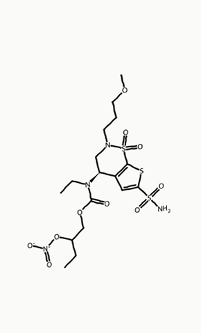 CCC(COC(=O)N(CC)[C@H]1CN(CCCOC)S(=O)(=O)c2sc(S(N)(=O)=O)cc21)O[N+](=O)[O-]